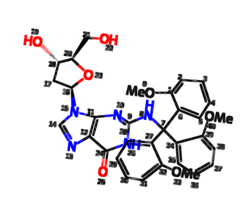 COc1ccccc1C(Nc1nc2c(ncn2[C@H]2C[C@H](O)[C@@H](CO)O2)c(=O)[nH]1)(c1ccccc1OC)c1ccccc1OC